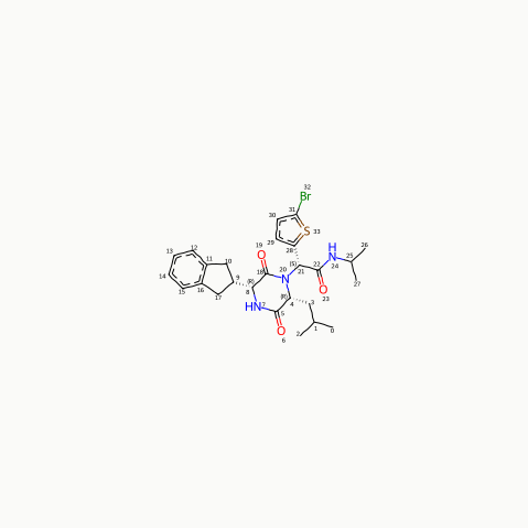 CC(C)C[C@@H]1C(=O)N[C@H](C2Cc3ccccc3C2)C(=O)N1[C@@H](C(=O)NC(C)C)c1ccc(Br)s1